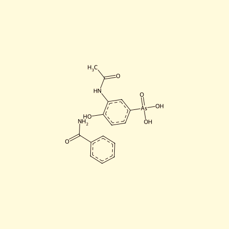 CC(=O)Nc1cc([As](=O)(O)O)ccc1O.NC(=O)c1ccccc1